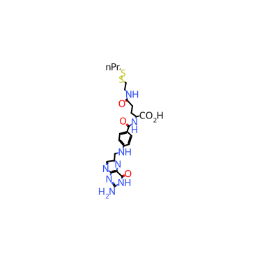 CCCSSCCNC(=O)CCC(NC(=O)c1ccc(NCc2cnc3nc(N)[nH]c(=O)c3n2)cc1)C(=O)O